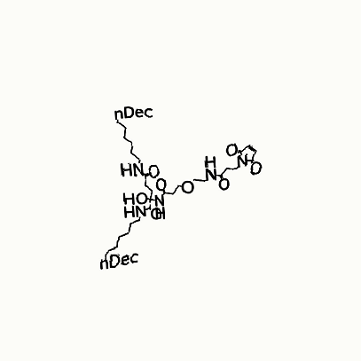 CCCCCCCCCCCCCCCCNC(=O)CCC(O)(NC(=O)CCOCCNC(=O)CCN1C(=O)C=CC1=O)C(=O)NCCCCCCCCCCCCCCCC